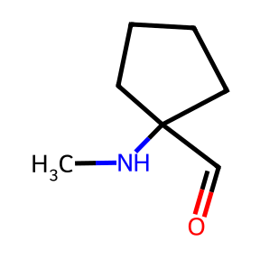 CNC1(C=O)CCCC1